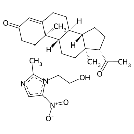 CC(=O)[C@H]1CC[C@H]2[C@@H]3CCC4=CC(=O)CC[C@]4(C)[C@H]3CC[C@]12C.Cc1ncc([N+](=O)[O-])n1CCO